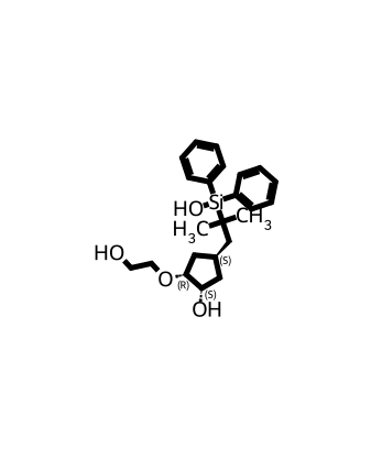 CC(C)(C[C@H]1C[C@H](O)[C@H](OCCO)C1)[Si](O)(c1ccccc1)c1ccccc1